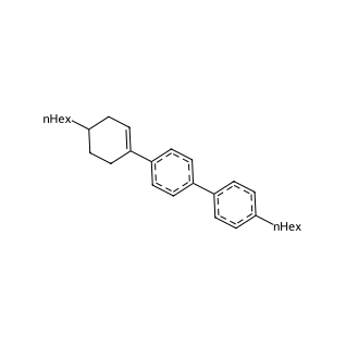 CCCCCCc1ccc(-c2ccc(C3=CCC(CCCCCC)CC3)cc2)cc1